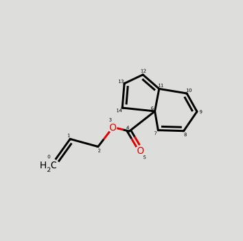 C=CCOC(=O)C12C=CC=CC1=CC=C2